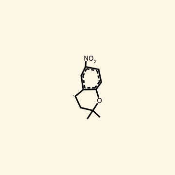 CC1(C)C[C]c2cc([N+](=O)[O-])ccc2O1